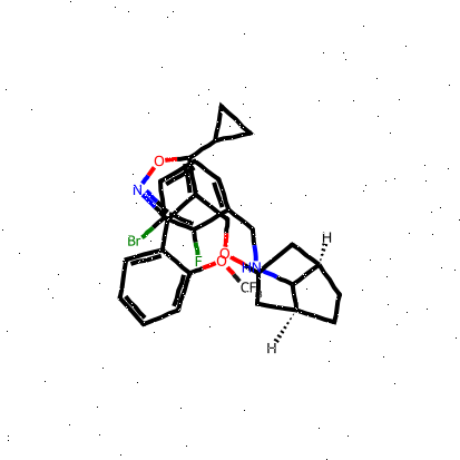 Fc1c(Br)cccc1CNC1[C@@H]2CC[C@H]1CC(OCc1c(-c3ccccc3OC(F)(F)F)noc1C1CC1)C2